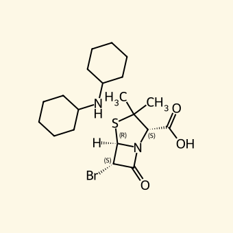 C1CCC(NC2CCCCC2)CC1.CC1(C)S[C@@H]2[C@@H](Br)C(=O)N2[C@H]1C(=O)O